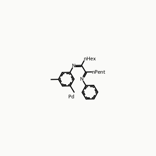 CCCCCCC(=Nc1cc(C)cc(C)c1)C(CCCCC)=Nc1ccccc1.[Pd]